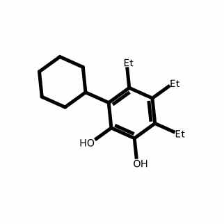 CCc1c(O)c(O)c(C2CCCCC2)c(CC)c1CC